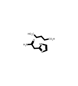 NC(=O)Cc1ncc[nH]1.O=C(O)CCCC(=O)O